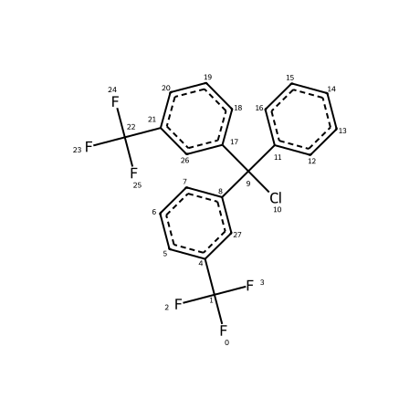 FC(F)(F)c1cccc(C(Cl)(c2ccccc2)c2cccc(C(F)(F)F)c2)c1